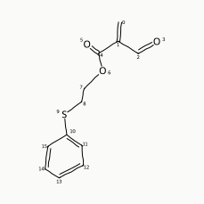 C=C(C=O)C(=O)OCCSc1ccccc1